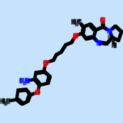 Cc1ccc(Oc2ccc(OCCCCCOc3cc4c(cc3C)C(=O)N3CCC[C@H]3C=N4)cc2N)cc1